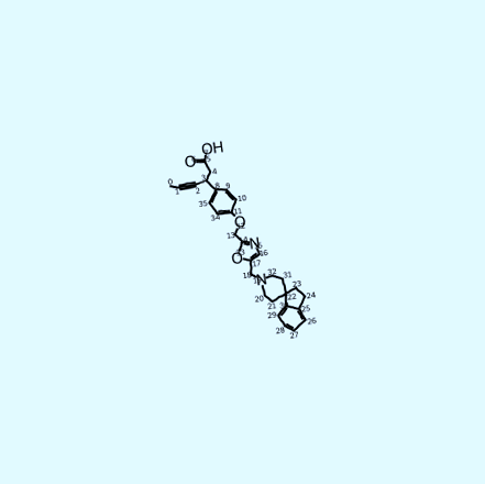 CC#C[C@@H](CC(=O)O)c1ccc(OCc2ncc(CN3CCC4(CCc5ccccc54)CC3)o2)cc1